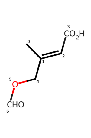 C/C(=C\C(=O)O)COC=O